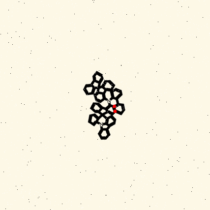 c1ccc(-c2ccccc2N(c2cccc3c2-c2ccccc2C32c3ccccc3-c3ccccc32)c2cccc3c2-c2ccccc2C32c3ccccc3-n3c4ccccc4c4cccc2c43)cc1